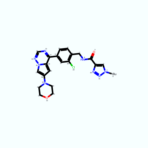 CC(C)(C)n1cc(C(=O)NCc2ccc(-c3ncnn4cc(N5CCOCC5)cc34)cc2Cl)nn1